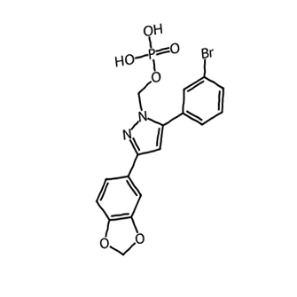 O=P(O)(O)OCn1nc(-c2ccc3c(c2)OCO3)cc1-c1cccc(Br)c1